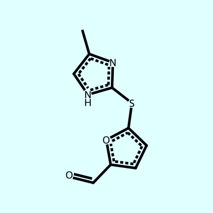 Cc1c[nH]c(Sc2ccc(C=O)o2)n1